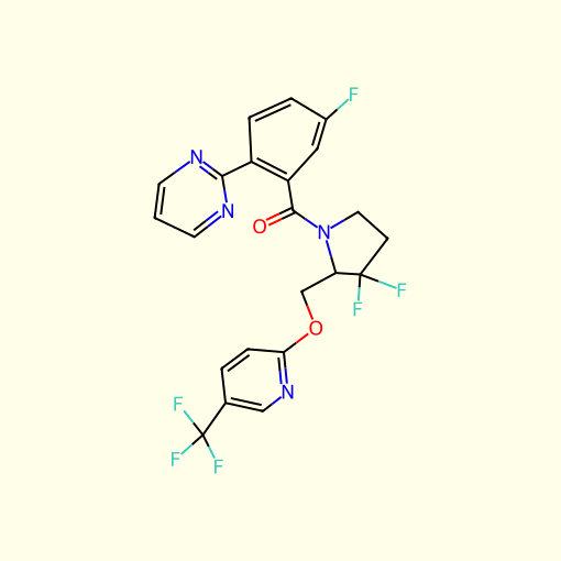 O=C(c1cc(F)ccc1-c1ncccn1)N1CCC(F)(F)C1COc1ccc(C(F)(F)F)cn1